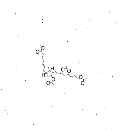 COC(=O)CCCC=C1C[C@H]2C[C@@H](OC(C)=O)[C@H](C=CC(CCCCCOC(C)=O)OC(C)=O)[C@@H]2C1